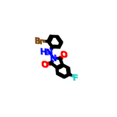 O=C1c2ccc(F)cc2C(=O)N1Nc1ccccc1Br